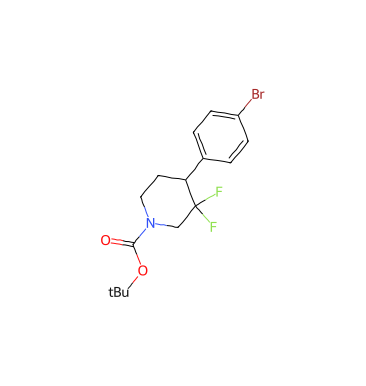 CC(C)(C)OC(=O)N1CCC(c2ccc(Br)cc2)C(F)(F)C1